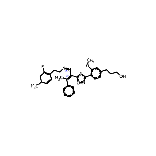 COc1cc(CCCO)ccc1-c1noc(C(/N=N\CCC2=C(F)CC(C)C=C2)=C(/C)c2ccccc2)n1